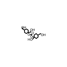 O=C(OC1(CO)CCC(CO)CC1)OC1(CO)CCC(CO)CC1